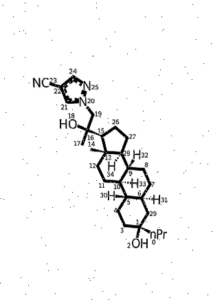 CCC[C@@]1(O)CC[C@H]2[C@@H](CC[C@@H]3[C@@H]2CC[C@]2(C)[C@@H](C(C)(O)Cn4cc(C#N)cn4)CC[C@@H]32)C1